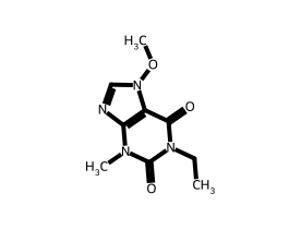 CCn1c(=O)c2c(ncn2OC)n(C)c1=O